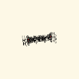 Cc1cc(C)c(B(c2ccc(-c3ccc4c5c(cccc35)-c3cc5c(cc3-4)C(C)(C)c3cc4c(cc3C5(C)C)-c3ccc(-c5ccc(B(c6c(C)cc(C)cc6C)c6c(C)cc(C)cc6C)cc5)c5cccc-4c35)cc2)c2c(C)cc(C)cc2C)c(C)c1